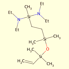 C=C[Si](C)(C)O[Si](C)(C)CC[Si](C)(N(CC)CC)N(CC)CC